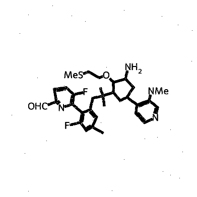 CNc1cnccc1C1CC(N)C(OCCSC)C(C(C)(C)Cc2cc(C)cc(F)c2-c2nc(C=O)ccc2F)C1